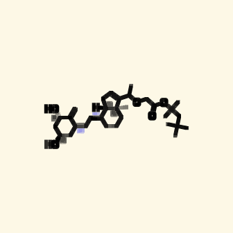 C=C1/C(=C\C=C2/CCC[C@]3(C)C(C(C)OCC(=O)OC(C)(C)CC(C)(C)C)=CC[C@@H]23)C[C@@H](O)C[C@@H]1O